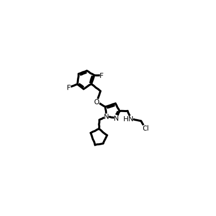 Fc1ccc(F)c(COc2cc(CNCCl)nn2CC2CCCC2)c1